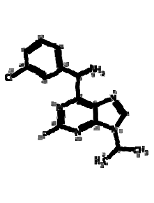 CC(C)n1cnc2c(C(N)c3cccc(Cl)c3)nc(F)nc21